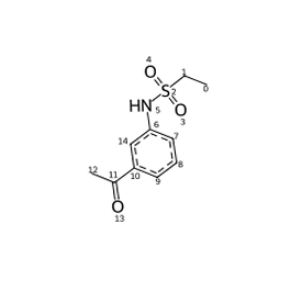 CCS(=O)(=O)Nc1cccc(C(C)=O)c1